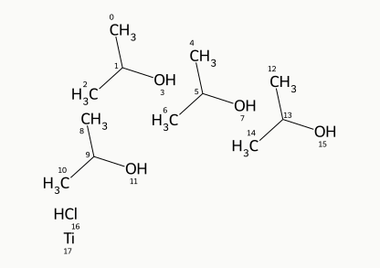 CC(C)O.CC(C)O.CC(C)O.CC(C)O.Cl.[Ti]